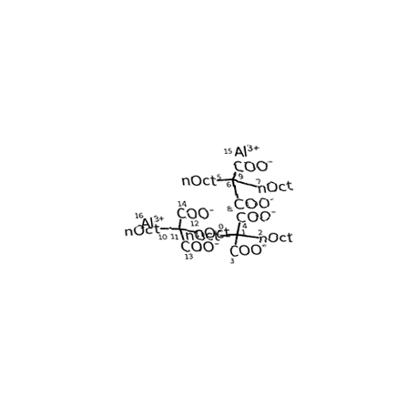 CCCCCCCCC(CCCCCCCC)(C(=O)[O-])C(=O)[O-].CCCCCCCCC(CCCCCCCC)(C(=O)[O-])C(=O)[O-].CCCCCCCCC(CCCCCCCC)(C(=O)[O-])C(=O)[O-].[Al+3].[Al+3]